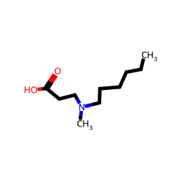 CCCCCCN(C)CCC(=O)O